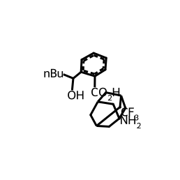 CCCCC(O)c1ccccc1C(=O)O.NC12CC3CC(C1)C(C(F)(F)F)C(C3)C2